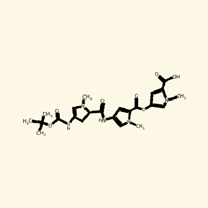 CN1C=C(NC(=O)OC(C)(C)C)CC1C(=O)Nc1cc(C(=O)Oc2cc(C(=O)O)n(C)c2)n(C)c1